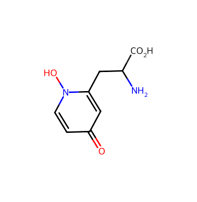 NC(Cc1cc(=O)ccn1O)C(=O)O